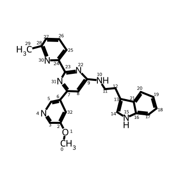 COc1cncc(-c2cc(NCCc3c[nH]c4ccccc34)nc(-c3cccc(C)n3)n2)c1